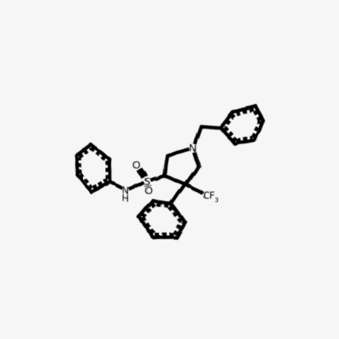 O=S(=O)(Nc1ccccc1)C1CN(Cc2ccccc2)CC1(c1ccccc1)C(F)(F)F